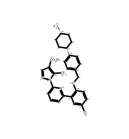 CCOC(=O)c1cnn(-c2cccc(-c3cc(Cl)ccc3OCc3ccc([C@H]4CC[C@@H](C(F)(F)F)CC4)cc3)n2)c1C(F)(F)F